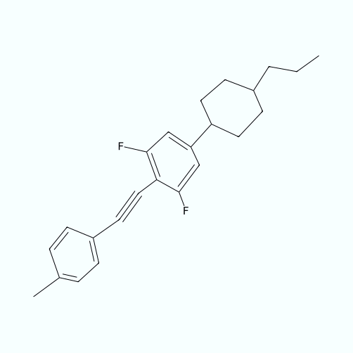 CCCC1CCC(c2cc(F)c(C#Cc3ccc(C)cc3)c(F)c2)CC1